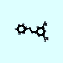 CC(=O)c1cc(C#N)cc(CCc2ccccc2)c1